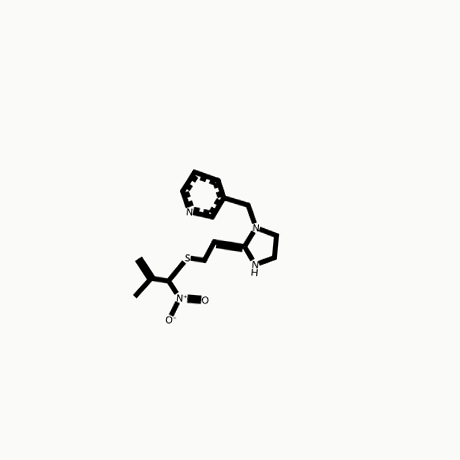 C=C(C)C(SCC=C1NCCN1Cc1cccnc1)[N+](=O)[O-]